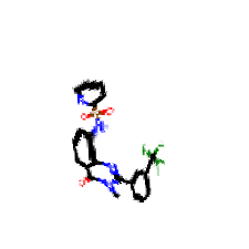 Cn1c(-c2cccc(C(F)(F)F)c2)nc2c(NS(=O)(=O)c3ccccn3)cccc2c1=O